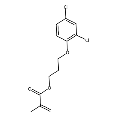 C=C(C)C(=O)OCCCOc1ccc(Cl)cc1Cl